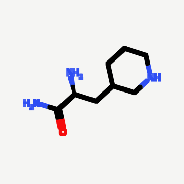 NC(=O)[C@@H](N)CC1CCCNC1